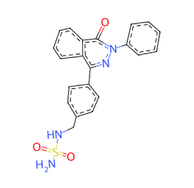 NS(=O)(=O)NCc1ccc(-c2nn(-c3ccccc3)c(=O)c3ccccc23)cc1